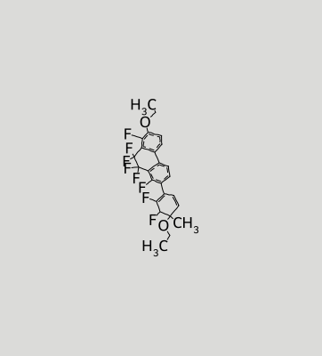 CCOc1ccc2c(c1F)C(F)(F)C(F)(F)c1c-2ccc(C2=C(F)C(F)C(C)(OCC)C=C2)c1F